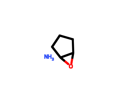 C1CC2OC2C1.N